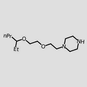 CCCC(CC)OCCOCCN1CCNCC1